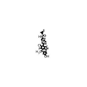 CN(c1c(F)c(Cl)c(-c2cn3cc(NC(=O)[C@@H]4C[C@@H]4F)nc3cn2)c2cn[nH]c12)[C@@H]1CC[C@H](O)C1